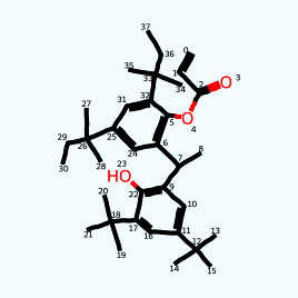 C=CC(=O)Oc1c(C(C)c2cc(C(C)(C)C)cc(C(C)(C)C)c2O)cc(C(C)(C)CC)cc1C(C)(C)CC